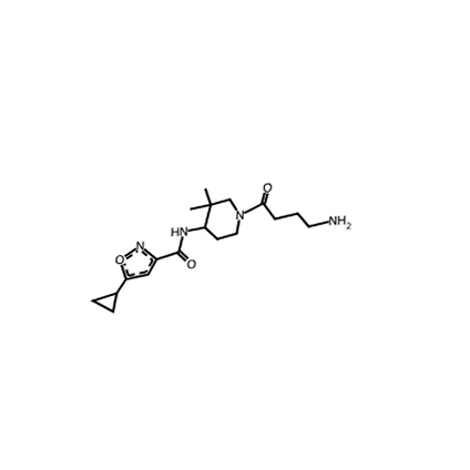 CC1(C)CN(C(=O)CCCN)CCC1NC(=O)c1cc(C2CC2)on1